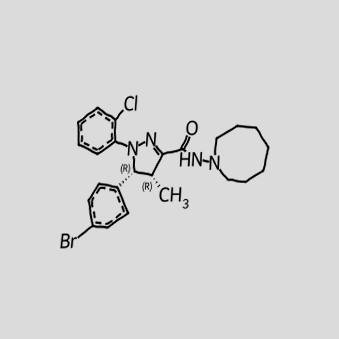 C[C@H]1C(C(=O)NN2CCCCCCC2)=NN(c2ccccc2Cl)[C@H]1c1ccc(Br)cc1